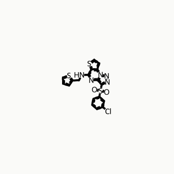 O=S(=O)(c1cccc(Cl)c1)c1nnn2c1nc(NCc1cccs1)c1sccc12